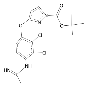 CC(=N)Nc1ccc(Oc2ccn(C(=O)OC(C)(C)C)n2)c(Cl)c1Cl